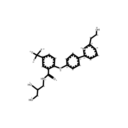 O=C(NCC(O)CO)c1cc(C(F)(F)F)ccc1Oc1ccc(-c2cccc(CCO)n2)cc1